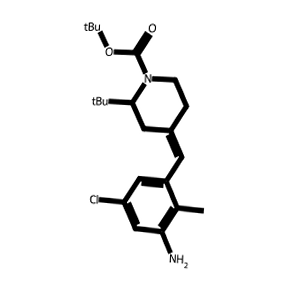 Cc1c(N)cc(Cl)cc1C=C1CCN(C(=O)OC(C)(C)C)C(C(C)(C)C)C1